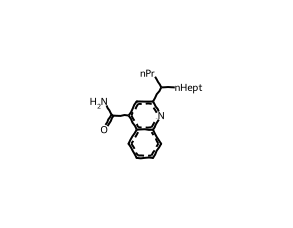 CCCCCCCC(CCC)c1cc(C(N)=O)c2ccccc2n1